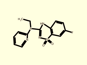 CCN(C1=NS(=O)(=O)c2cc(F)ccc2N1)c1ccccn1